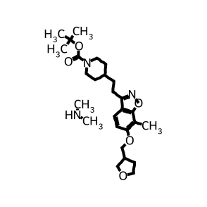 CNC.Cc1c(OCC2CCOC2)ccc2c(CCC3CCN(C(=O)OC(C)(C)C)CC3)noc12